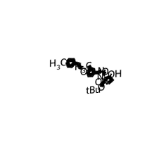 Cc1ccc(CCCOc2ccc(-c3noc([C@@H]4[C@@H](O)CCN4C(=O)OC(C)(C)C)n3)cc2C)cc1